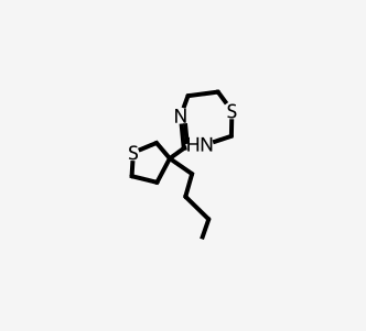 CCCCC1(C2=NCCSCN2)CCSC1